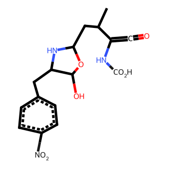 CC(CC1NC(Cc2ccc([N+](=O)[O-])cc2)C(O)O1)C(=C=O)NC(=O)O